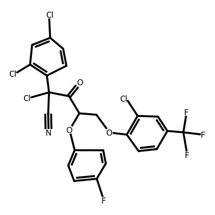 N#CC(Cl)(C(=O)C(COc1ccc(C(F)(F)F)cc1Cl)Oc1ccc(F)cc1)c1ccc(Cl)cc1Cl